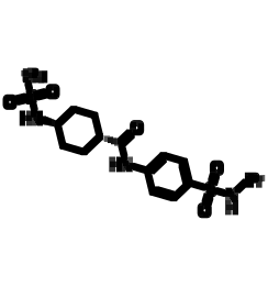 CC(C)NS(=O)(=O)c1ccc(NC(=O)[C@H]2CC[C@H](NS(=O)(=O)C(C)(C)C)CC2)cc1